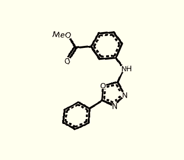 COC(=O)c1cccc(Nc2nnc(-c3ccccc3)o2)c1